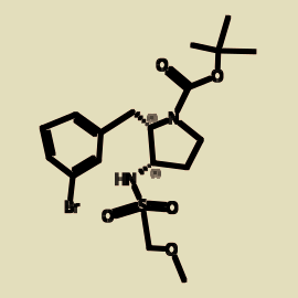 COCS(=O)(=O)N[C@H]1CCN(C(=O)OC(C)(C)C)[C@H]1Cc1cccc(Br)c1